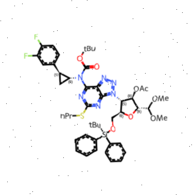 CCCSc1nc(N(C(=O)OC(C)(C)C)[C@@H]2C[C@H]2c2ccc(F)c(F)c2)c2nnn([C@@H]3[C@@H](OC(C)=O)[C@H](C(OC)OC)O[C@H]3CO[Si](c3ccccc3)(c3ccccc3)C(C)(C)C)c2n1